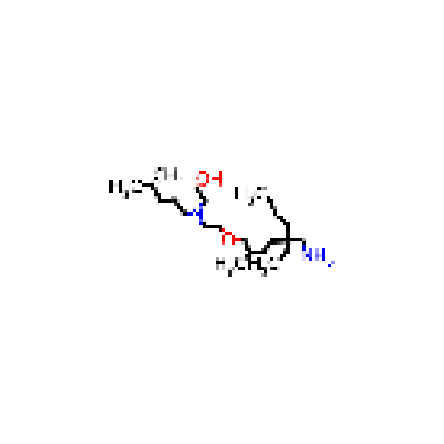 CCCCC(CC)(CN)CCC(C)COCCN(CCO)CCCC(C)C